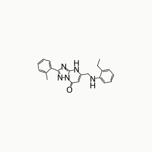 CCc1ccccc1NCc1cc(=O)n2nc(-c3ccccc3C)nc2[nH]1